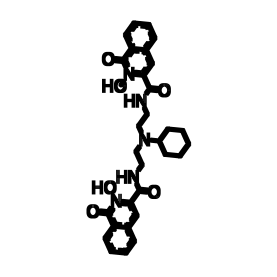 O=C(NCCN(CCNC(=O)c1cc2ccccc2c(=O)n1O)C1CCCCC1)c1cc2ccccc2c(=O)n1O